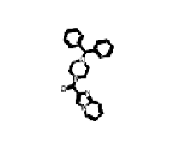 O=C(c1cn2ccccc2n1)N1CCN(C(c2ccccc2)c2ccccc2)CC1